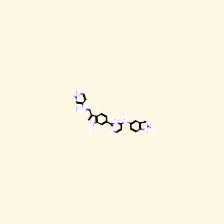 O=C(Nc1ccnnc1)c1c[nH]c2cc(-c3nccc(Nc4ccc5[nH]ncc5c4)n3)ccc12